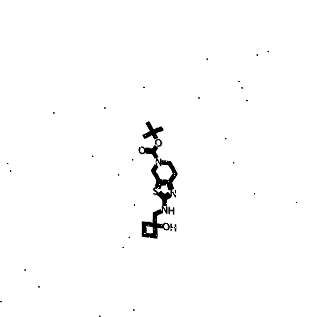 CC(C)(C)OC(=O)N1CCc2nc(NCC3(O)CCC3)sc2C1